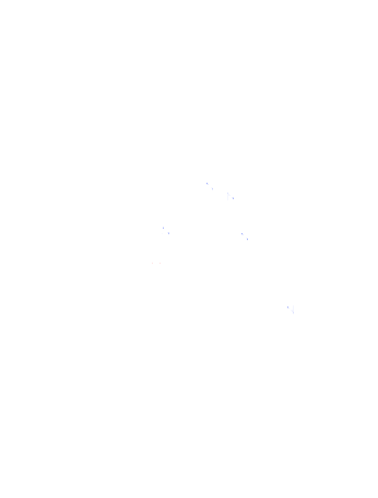 Cc1ccccc1S(=O)(=O)N1Cc2n[nH]c(NC(=O)c3ccncc3)c2C1